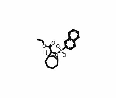 CCOC(=O)C1[C@@H]2CCCCC(C2)N1S(=O)(=O)c1ccc2ccccc2c1